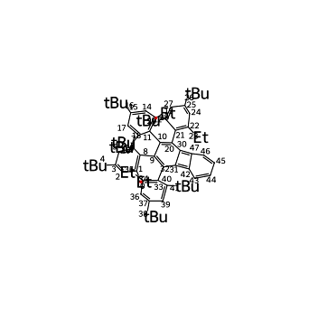 CCc1cc(C(C)(C)C)cc(C(C)(C)C)c1-c1c(-c2c(CC)cc(C(C)(C)C)cc2C(C)(C)C)c(-c2c(CC)cc(C(C)(C)C)cc2C(C)(C)C)c2c(c1-c1c(CC)cc(C(C)(C)C)cc1C(C)(C)C)=c1ccccc1=2